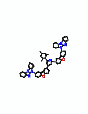 Cc1cc(C)c(-c2cc(-c3ccc4oc5ccc(-n6c7ccccc7n7c8ccccc8nc67)cc5c4c3)cc(-c3ccc4oc5ccc(-n6c7ccccc7n7c8ccccc8nc67)cc5c4c3)n2)c(C)c1